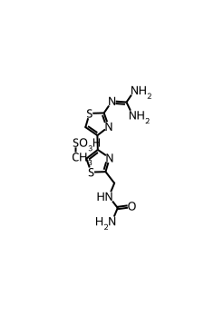 CS(=O)(=O)O.NC(=O)NCc1nc(-c2csc(N=C(N)N)n2)cs1